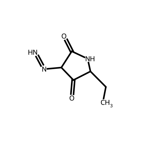 CCC1NC(=O)C(N=N)C1=O